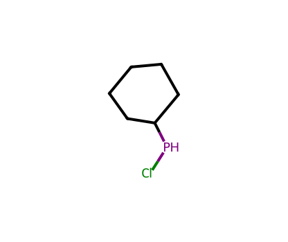 ClPC1CCCCC1